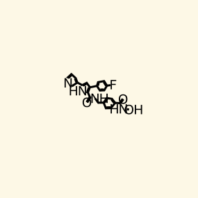 O=C(NO)c1ccc(CNC(=O)c2[nH]c(-c3cccnc3)cc2-c2ccc(F)cc2)cc1